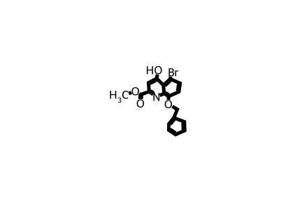 COC(=O)c1cc(O)c2c(Br)ccc(OCc3ccccc3)c2n1